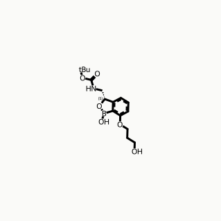 CC(C)(C)OC(=O)NC[C@H]1OB(O)c2c(OCCCO)cccc21